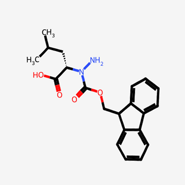 CC(C)C[C@@H](C(=O)O)N(N)C(=O)OCC1c2ccccc2-c2ccccc21